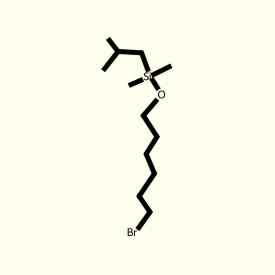 CC(C)C[Si](C)(C)OCCCCCCBr